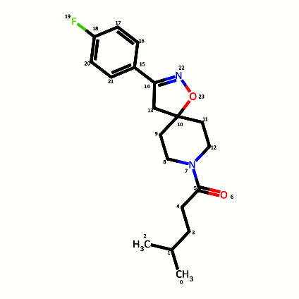 CC(C)CCC(=O)N1CCC2(CC1)CC(c1ccc(F)cc1)=NO2